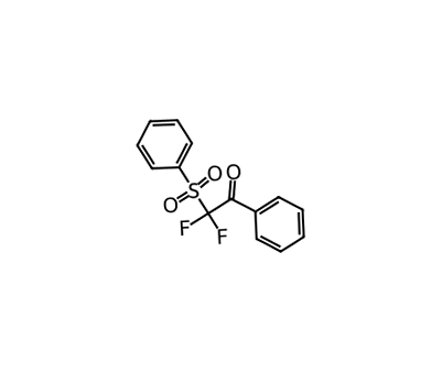 O=C(c1ccccc1)C(F)(F)S(=O)(=O)c1ccccc1